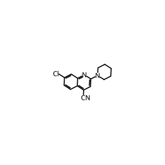 N#Cc1cc(N2CCCCC2)nc2cc(Cl)ccc12